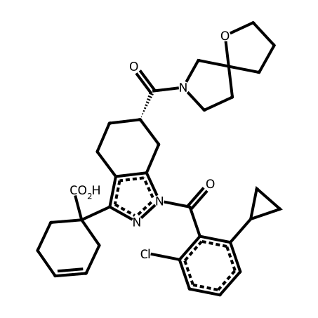 O=C([C@H]1CCc2c(C3(C(=O)O)CC=CCC3)nn(C(=O)c3c(Cl)cccc3C3CC3)c2C1)N1CCC2(CCCO2)C1